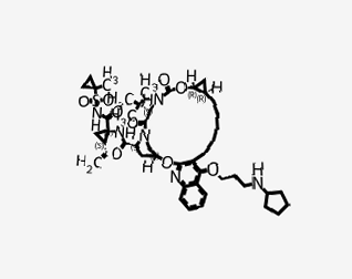 C=C[C@@H]1C[C@]1(NC(=O)[C@@H]1C[C@@H]2CN1C(=O)[C@H](C(C)(C)C)NC(=O)O[C@@H]1C[C@H]1CCCCCc1c(nc3ccccc3c1OCCCNC1CCCC1)O2)C(=O)NS(=O)(=O)C1(C)CC1